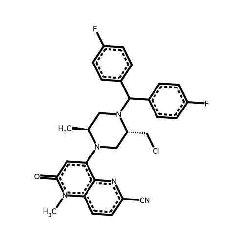 C[C@H]1CN(C(c2ccc(F)cc2)c2ccc(F)cc2)[C@H](CCl)CN1c1cc(=O)n(C)c2ccc(C#N)nc12